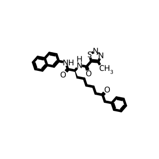 Cc1nnsc1C(=O)N[C@@H](CCCCCC(=O)Cc1ccccc1)C(=O)Nc1ccc2ccccc2c1